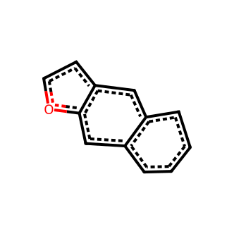 c1ccc2cc3occc3cc2c1